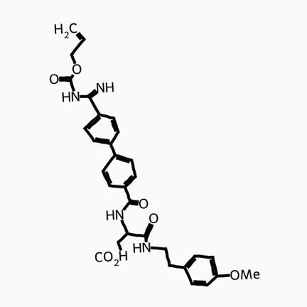 C=CCOC(=O)NC(=N)c1ccc(-c2ccc(C(=O)NC(CC(=O)O)C(=O)NCCc3ccc(OC)cc3)cc2)cc1